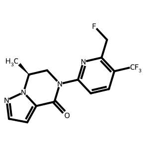 C[C@H]1CN(c2ccc(C(F)(F)F)c(CF)n2)C(=O)c2ccnn21